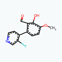 COc1ccc(-c2ccncc2F)c(C=O)c1O